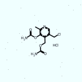 Cc1ncc(CCl)c(COC(N)=O)c1OC(N)=O.Cl